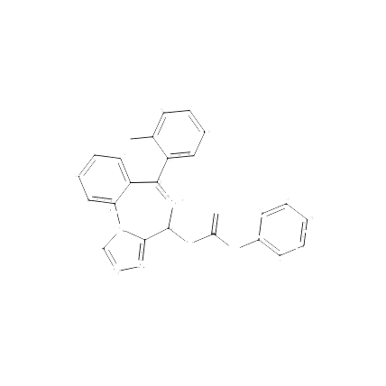 O=C(NC1N=C(c2ccccc2F)c2ccccc2-n2cnnc21)Oc1ccccc1